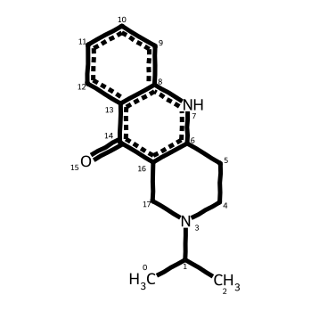 CC(C)N1CCc2[nH]c3ccccc3c(=O)c2C1